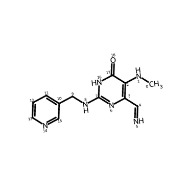 CNc1c(C=N)nc(NCc2cccnc2)[nH]c1=O